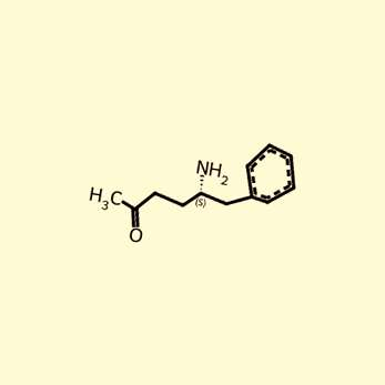 CC(=O)CC[C@H](N)Cc1ccccc1